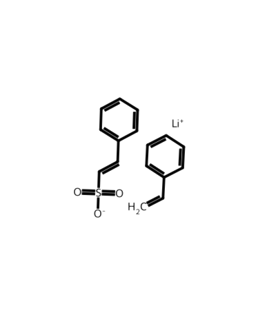 C=Cc1ccccc1.O=S(=O)([O-])C=Cc1ccccc1.[Li+]